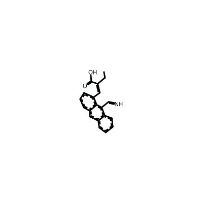 CCC(=Cc1cccc2cc3ccccc3c(C=N)c12)C(=O)O